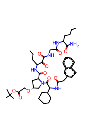 CCCCC(NC(=O)CNC(=O)C(=O)C(CCC)NC(=O)[C@@H]1C[C@@H](OCC(=O)OC(C)(C)C)CN1C(=O)C(NC(=O)Cc1ccc2ccccc2c1)C1CCCCC1)C(N)=O